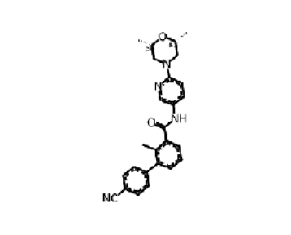 Cc1c(C(=O)Nc2ccc(N3C[C@@H](C)O[C@@H](C)C3)nc2)cccc1-c1ccc(C#N)cc1